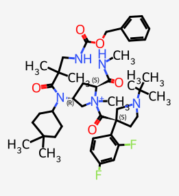 CNC(=O)[C@@H]1C[C@@H](N(C(=O)C(C)(C)CNC(=O)OCc2ccccc2)C2CCC(C)(C)CC2)C[N+]1(C)C(=O)[C@]1(c2ccc(F)cc2F)CCN(C(C)(C)C)C1